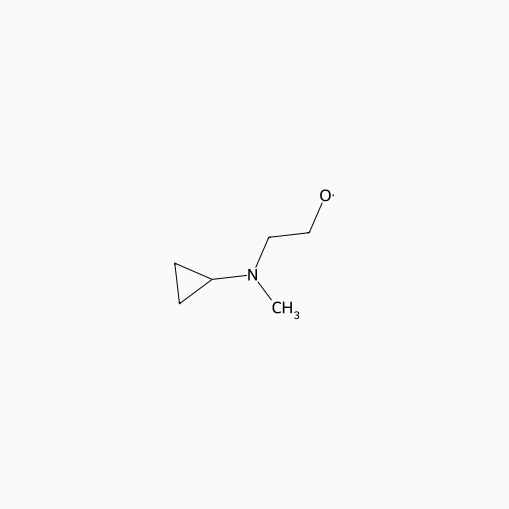 CN(CC[O])C1CC1